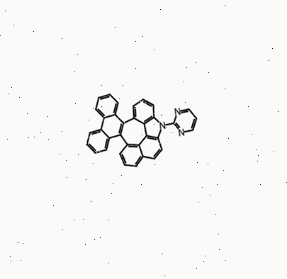 c1cnc(-n2c3cccc4c3c3c5c(cccc5ccc32)-c2c-4c3ccccc3c3ccccc23)nc1